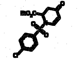 CCOC(=O)C1CC(=O)C=CN1S(=O)(=O)c1ccc(Cl)cc1